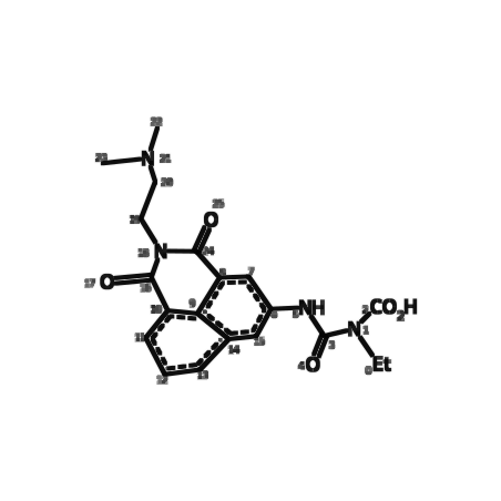 CCN(C(=O)O)C(=O)Nc1cc2c3c(cccc3c1)C(=O)N(CCN(C)C)C2=O